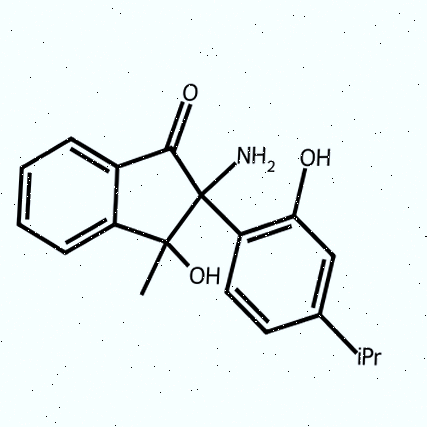 CC(C)c1ccc(C2(N)C(=O)c3ccccc3C2(C)O)c(O)c1